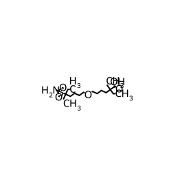 CCC(CC)(CCCCOCCCCC(CC)(CC)S(N)(=O)=O)C(=O)O